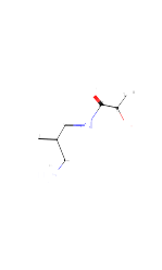 CCCC(O)C(=O)NCC(C)CN